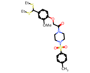 CCSC(SCC)c1ccc(OCC(=O)N2CCN(S(=O)(=O)c3ccc(C)cc3)CC2)c(OC)c1